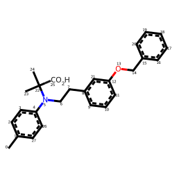 Cc1ccc(N(CCc2cccc(OCc3ccccc3)c2)C(C)(C)C(=O)O)cc1